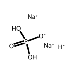 O=P([O-])(O)O.[H-].[Na+].[Na+]